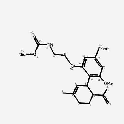 C=C(C)C1CCC(C)=CC1c1c(OC)cc(CCCCC)cc1OCCNC(=O)OC(C)(C)C